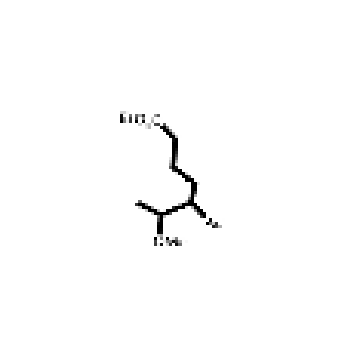 CCOC(=O)CCCC(C(C)=O)C(C)OC